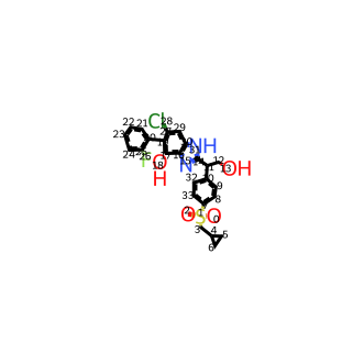 O=S(=O)(CC1CC1)c1ccc(C(CO)c2nc3c(O)c(-c4ccccc4F)c(Cl)cc3[nH]2)cc1